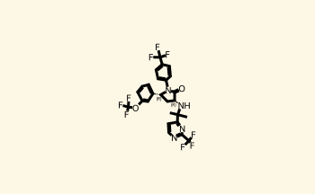 CC(C)(N[C@@H]1C[C@H](c2cccc(OC(F)(F)F)c2)N(c2ccc(C(F)(F)F)cc2)C1=O)c1ccnc(C(F)(F)F)n1